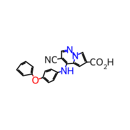 N#Cc1cnn2cc(C(=O)O)cc2c1Nc1ccc(Oc2ccccc2)cc1